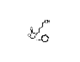 CCCC=CN1C(=O)OC[C@H]1Cc1ccccc1